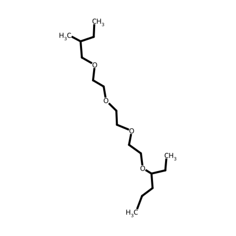 CCCC(CC)OCCOCCOCCOCC(C)CC